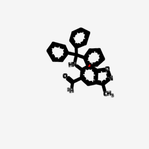 [2H]C(=O)c1cc2c(C)noc2cc1NC(c1ccccc1)(c1ccccc1)c1ccccc1